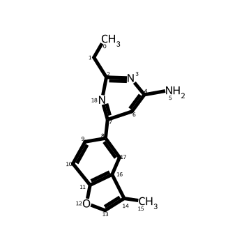 CCc1nc(N)cc(-c2ccc3occ(C)c3c2)n1